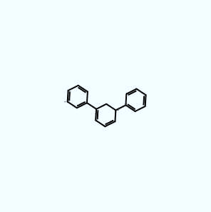 [c]1cccc(C2=CC=C[C](c3ccccc3)C2)c1